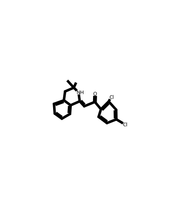 CC1(C)Cc2ccccc2C(=CC(=O)c2ccc(Cl)cc2Cl)N1